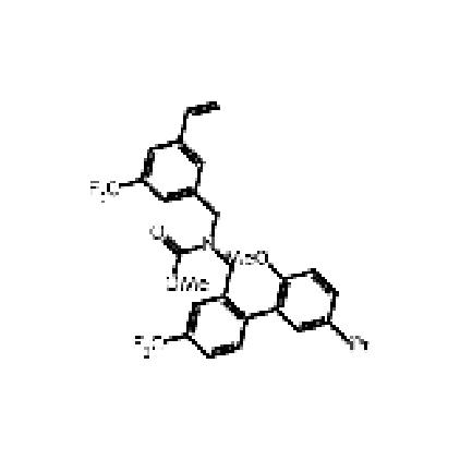 C=Cc1cc(CN(Cc2cc(C(F)(F)F)ccc2-c2cc(C(C)C)ccc2OC)C(=O)OC)cc(C(F)(F)F)c1